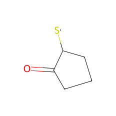 O=C1CCCC1[S]